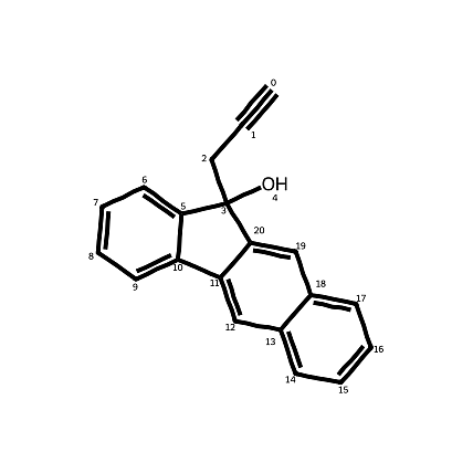 C#CCC1(O)c2ccccc2-c2cc3ccccc3cc21